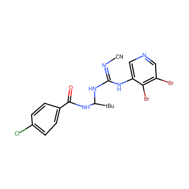 CC(C)(C)C(NC(=O)c1ccc(Cl)cc1)N/C(=N/C#N)Nc1cncc(Br)c1Br